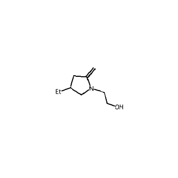 C=C1CC(CC)CN1CCO